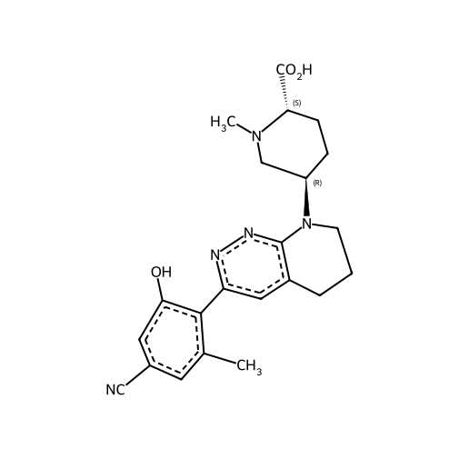 Cc1cc(C#N)cc(O)c1-c1cc2c(nn1)N([C@@H]1CC[C@@H](C(=O)O)N(C)C1)CCC2